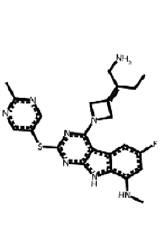 CCC(CN)=C1CN(c2nc(Sc3cnc(C)nc3)nc3[nH]c4c(NC)cc(F)cc4c23)C1